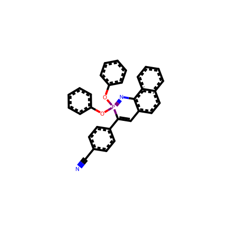 N#Cc1ccc(C2=Cc3ccc4ccccc4c3N=P2(Oc2ccccc2)Oc2ccccc2)cc1